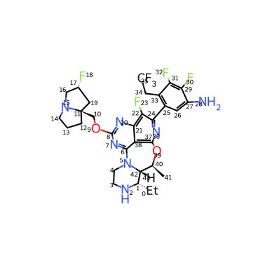 CC[C@@H]1NCCN2c3nc(OC[C@@]45CCCN4C[C@H](F)C5)nc4c(F)c(-c5cc(N)c(F)c(F)c5CC(F)(F)F)nc(c34)O[C@@H](C)[C@H]12